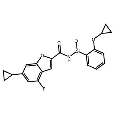 O=C(N[S+]([O-])c1ccccc1OC1CC1)c1cc2c(F)cc(C3CC3)cc2o1